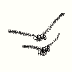 CCCCCCCCCCCCCCCC(=O)OCC(CO)OC(=O)CCCCCCCCCCCCCCC.CCCCCCCCCCCCCCCCCCCCCCCC(=O)OCC(CO)OC(=O)CCCCCCCCCCCCCCCCCCCCCCC